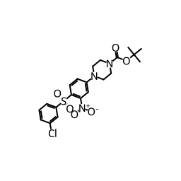 CC(C)(C)OC(=O)N1CCN(c2ccc(S(=O)(=O)c3cccc(Cl)c3)c([N+](=O)[O-])c2)CC1